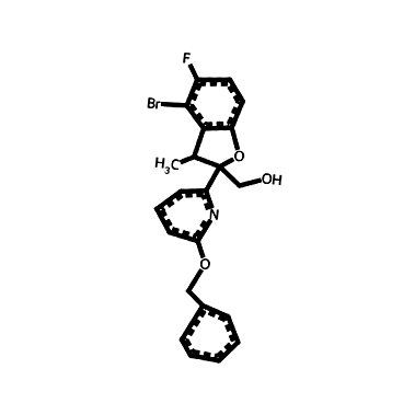 CC1c2c(ccc(F)c2Br)OC1(CO)c1cccc(OCc2ccccc2)n1